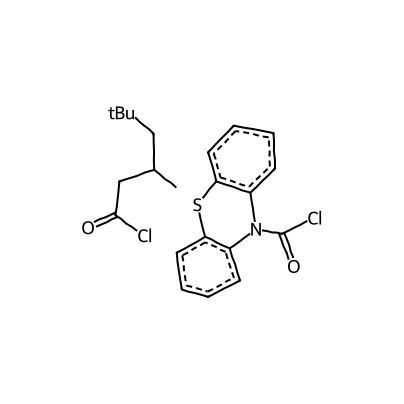 CC(CC(=O)Cl)CC(C)(C)C.O=C(Cl)N1c2ccccc2Sc2ccccc21